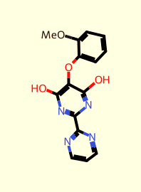 COc1ccccc1Oc1c(O)nc(-c2ncccn2)nc1O